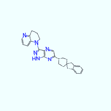 c1ccc2c(c1)CC1(CCC(c3cnc4c(N5CCCc6ncccc65)n[nH]c4n3)CC1)C2